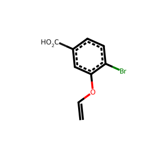 C=COc1cc(C(=O)O)ccc1Br